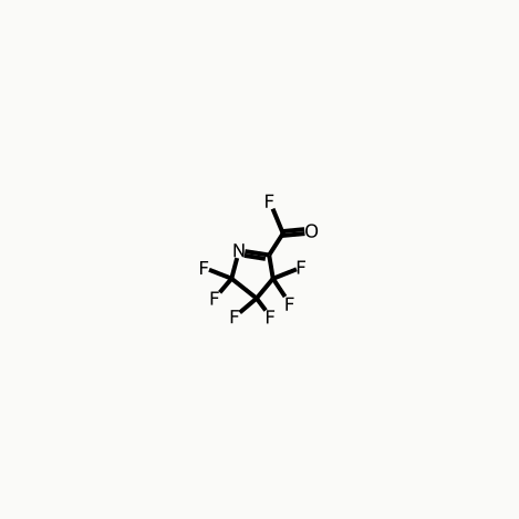 O=C(F)C1=NC(F)(F)C(F)(F)C1(F)F